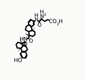 C[C@]1(C(=O)NC(=O)[C@@]2(C)CCC[C@]3(C)c4cc(O)ccc4CC[C@@H]23)CCC[C@]2(C)c3cc(NC(=O)[C@@H](N)CCC(=O)O)ccc3CCC12